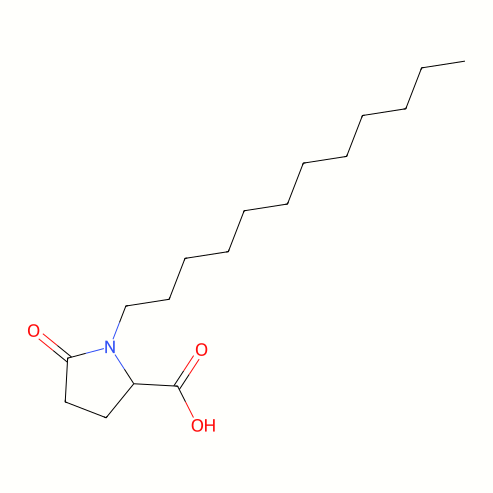 CCCCCCCCCCCCN1C(=O)CCC1C(=O)O